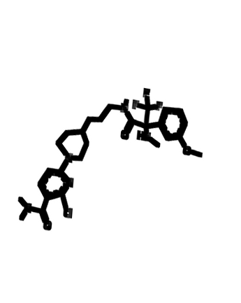 CNC(C(=O)N(C)CCCC1CCN(c2ccc(C(=O)N(C)C)c(Cl)n2)CC1)(c1cccc(OC)c1)C(F)(F)F